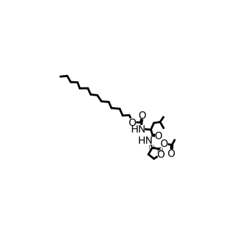 CCCCCCCCCCCCCCOC(=O)NC(CC(C)C)C(=O)N[C@H]1CCO[C@H]1OC(C)=O